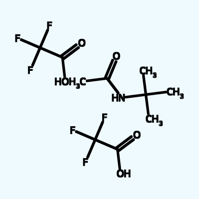 CC(=O)NC(C)(C)C.O=C(O)C(F)(F)F.O=C(O)C(F)(F)F